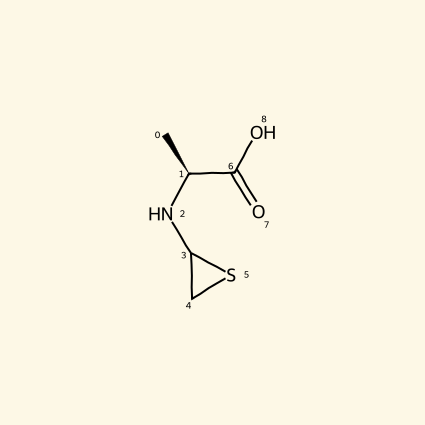 C[C@H](NC1CS1)C(=O)O